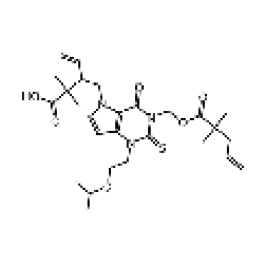 C=CCC(C)(C)C(=O)OCn1c(=O)c2c(ccn2CC(C=C)C(C)(C)C(=O)O)n(CCOC(C)C)c1=S